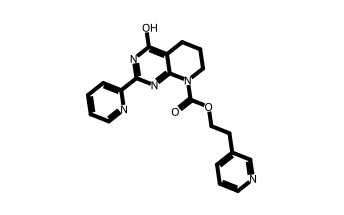 O=C(OCCc1cccnc1)N1CCCc2c(O)nc(-c3ccccn3)nc21